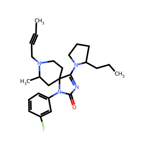 CC#CCN1CCC2(CC1C)C(N1CCCC1CCC)=NC(=O)N2c1cccc(F)c1